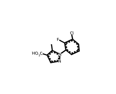 Cc1c(C(=O)O)cnn1-c1cccc(Cl)c1F